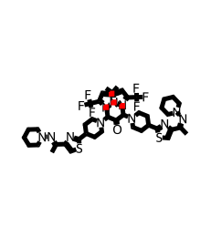 CC(=NN1CCCCC1)c1csc(C2CCN(C(Cn3nc(C(F)(F)F)cc3C)C(=O)C(Cn3nc(C(F)(F)F)cc3C)N3CCC(c4nc(C(C)=NN5CCCCC5)cs4)CC3)CC2)n1